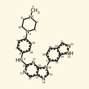 CN1CCN(c2ccc(Nc3ncc4ncn(-c5ccc6cn[nH]c6c5)c4n3)cc2)CC1